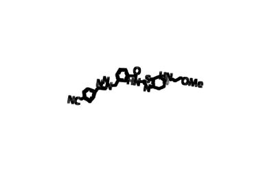 COCCN[C@H]1CCc2nc(NC(=O)c3cccc(Cn4cc(-c5ccc(C#N)cc5)nn4)c3)sc2C1